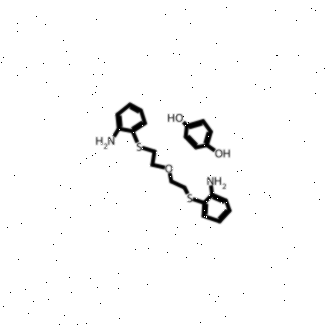 Nc1ccccc1SCCOCCSc1ccccc1N.Oc1ccc(O)cc1